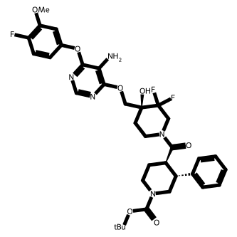 COc1cc(Oc2ncnc(OC[C@@]3(O)CCN(C(=O)[C@@H]4CCN(C(=O)OC(C)(C)C)C[C@H]4c4ccccc4)CC3(F)F)c2N)ccc1F